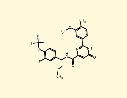 COC[C@@H](NC(=O)c1cc(=O)[nH]c(-c2ccc(C)c(OC)c2)n1)c1ccc(OC(F)(F)F)c(F)c1